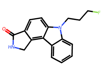 O=C1NCc2c1ccc1c2c2ccccc2n1CCCF